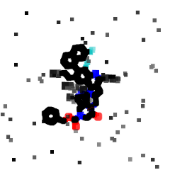 CSc1nc2c(F)c(-c3cccc4ccc(F)cc34)c(CCC#N)cc2c2c1cc(CN1CCN(C(=O)OCc3ccccc3)CC1=O)n2[C@H]1[C@@H]2C[C@H]1N(C(=O)O)C2